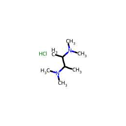 CC(C(C)N(C)C)N(C)C.Cl